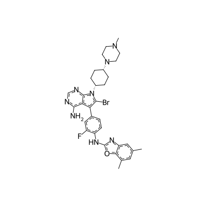 Cc1cc(C)c2oc(Nc3ccc(-c4c(Br)n([C@H]5CC[C@@H](N6CCN(C)CC6)CC5)c5ncnc(N)c45)cc3F)nc2c1